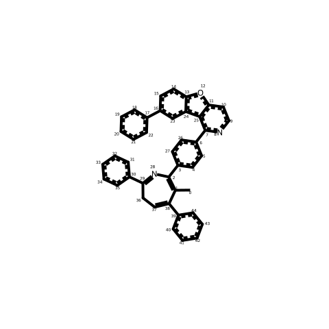 CC1=C(c2ccc(-c3nccc4oc5ccc(-c6ccccc6)cc5c34)cc2)N=C(c2ccccc2)CC=C1c1ccccc1